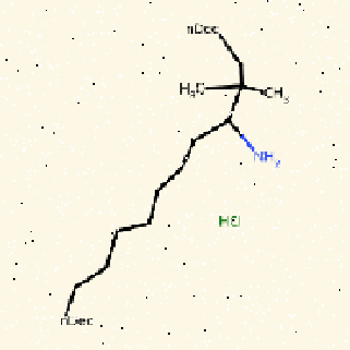 CCCCCCCCCCCCCCCCCC(N)C(C)(C)CCCCCCCCCCC.Cl